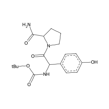 CC(C)(C)OC(=O)NC(C(=O)N1CCCC1C(N)=O)c1ccc(O)cc1